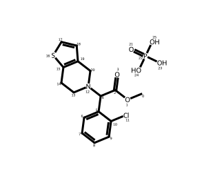 COC(=O)C(c1ccccc1Cl)N1CCc2sccc2C1.O=P(O)(O)O